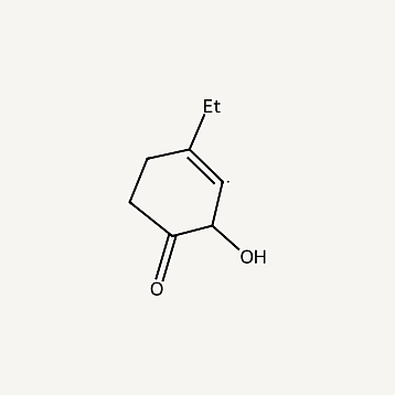 CCC1=[C]C(O)C(=O)CC1